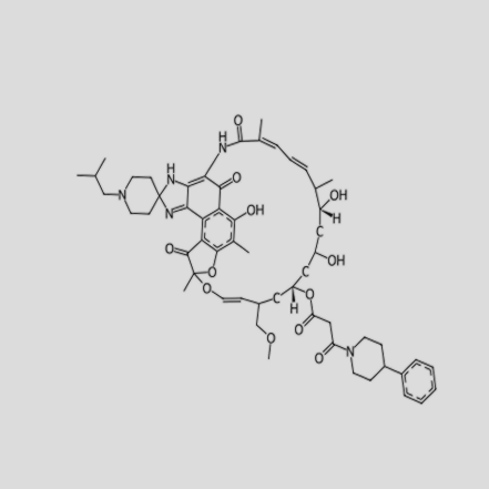 COCC1/C=C/OC2(C)Oc3c(C)c(O)c4c(c3C2=O)C2=NC3(CCN(CC(C)C)CC3)NC2=C(NC(=O)/C(C)=C\C=C\C(C)[C@H](O)CC(O)C[C@H](OC(=O)CC(=O)N2CCC(c3ccccc3)CC2)C1)C4=O